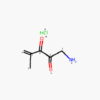 C=C(C)C(=O)C(=O)CN.Cl